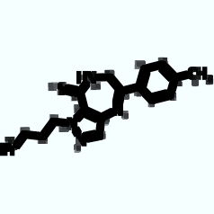 Cc1ccc(C2=Nc3cnn(CCCC(C)C)c3C(=S)NC2)cc1